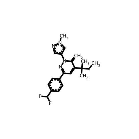 C=C1C(C(C)(C)CC)=CC(c2ccc(C(F)F)cc2)=NN1c1cnn(C)c1